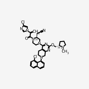 C=C(C(=O)N1CCN(c2nc(OC[C@@H]3CCCN3C)nc3c2CCN(c2cccc4cccc(Cl)c24)C3)C[C@@H]1CC#N)n1cnc(Cl)c1